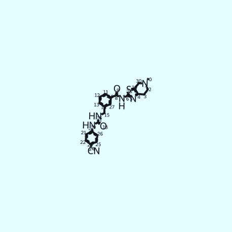 CN1CCc2nc(NC(=O)c3cccc(CNC(=O)Nc4ccc(C#N)cc4)c3)sc2C1